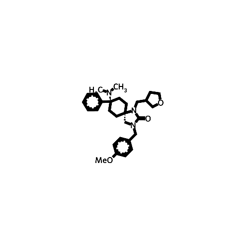 COc1ccc(CN2C[C@]3(CC[C@@](c4ccccc4)(N(C)C)CC3)N(CC3CCOC3)C2=O)cc1